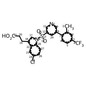 Cc1cc(C(F)(F)F)ccc1-c1cncc(S(=O)(=O)n2cc(CCC(=O)O)c3cc(Cl)ccc32)c1